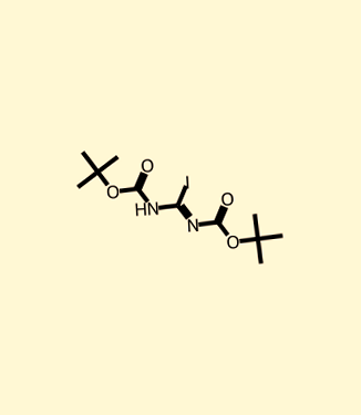 CC(C)(C)OC(=O)/N=C(\I)NC(=O)OC(C)(C)C